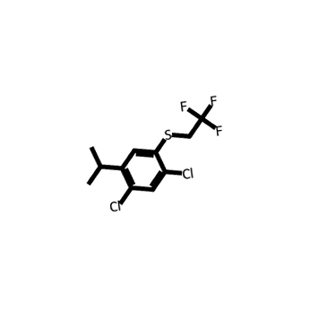 CC(C)c1cc(SCC(F)(F)F)c(Cl)cc1Cl